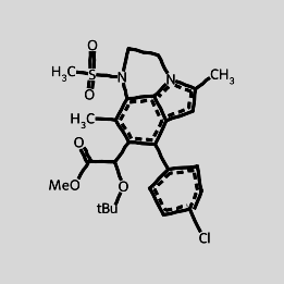 COC(=O)C(OC(C)(C)C)c1c(C)c2c3c(cc(C)n3CCN2S(C)(=O)=O)c1-c1ccc(Cl)cc1